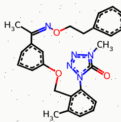 CC(=NOCCc1ccccc1)c1cccc(OCc2c(C)cccc2-n2nnn(C)c2=O)c1